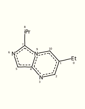 CCc1cnc2cnc(C(C)C)n2c1